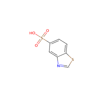 O=S(=O)(O)c1ccc2s[c]nc2c1